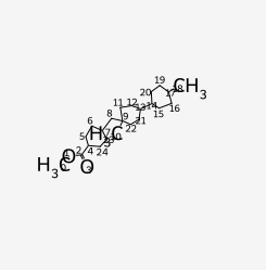 COC(=O)C1CCC(CC2(C)CCC(C3CCC(C)CC3)CC2)CC1